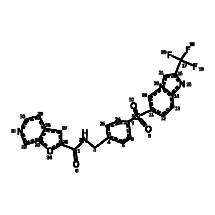 O=C(NCc1ccc(S(=O)(=O)c2ccc3nc(C(F)(F)F)cn3c2)cc1)c1cc2ccncc2o1